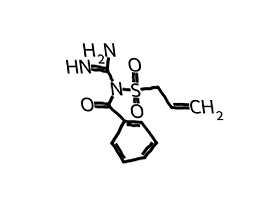 C=CCS(=O)(=O)N(C(=N)N)C(=O)c1ccccc1